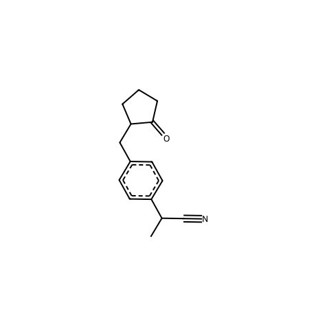 CC(C#N)c1ccc(CC2CCCC2=O)cc1